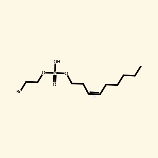 CCCCC/C=C\CCOP(=O)(O)OCCBr